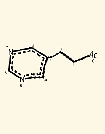 CC(=O)CCc1cncnc1